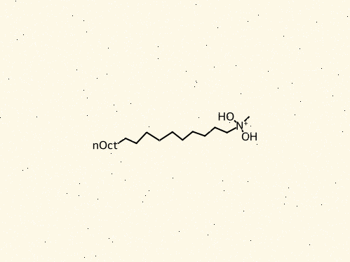 CCCCCCCCCCCCCCCCCC[N+](C)(O)O